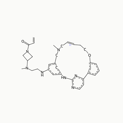 C=CC(=O)N1CC(N(C)CCNc2cc3cc(c2)Nc2nccc(n2)-c2cccc(c2)OCC/C=C/CN(C)C3)C1